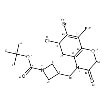 CC(C)(C)OC(=O)N1CC(CN2C(=O)COC3=C2CC(Cl)C(Br)=C3F)C1